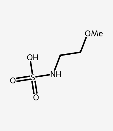 COCCNS(=O)(=O)O